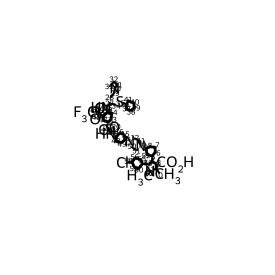 Cc1c(C(=O)O)c(-c2cccc(N3CCN(c4ccc(NS(=O)(=O)c5ccc(N[C@H](CCN6CCC6)CSc6ccccc6)c(S(=O)(=O)C(F)(F)F)c5)cc4)CC3)c2)c(-c2ccc(Cl)cc2)n1C